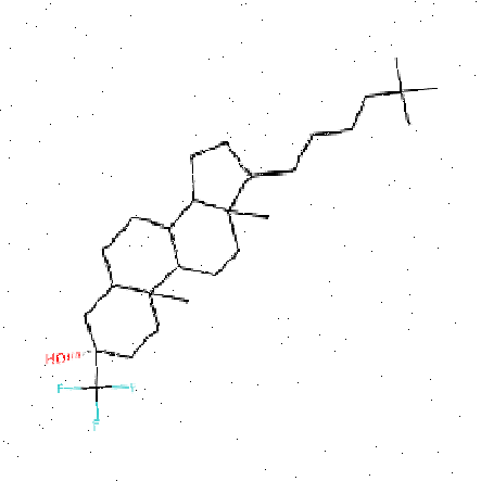 CC(C)(C)CCCCC1CCC2C3CCC4C[C@](O)(C(F)(F)F)CCC4(C)C3CCC12C